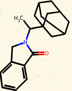 CC(N1Cc2ccccc2C1=O)C12CC3CC(CC(C3)C1)C2